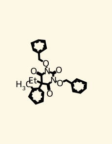 CCC1(c2ccccc2C)C(=O)N(OCc2ccccc2)C(=O)N(OCc2ccccc2)C1=O